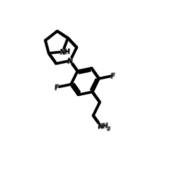 NCCc1cc(F)c(N2CC3CCC(C2)N3)cc1F